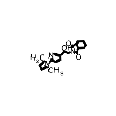 Cc1ccc(C)n1-c1ccc(C(O)CN2C(=O)c3ccccc3C2=O)cn1